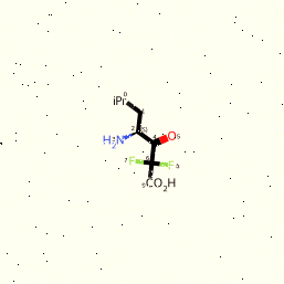 CC(C)C[C@H](N)C(=O)C(F)(F)C(=O)O